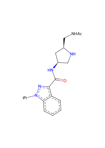 CC(=O)NC[C@@H]1C[C@H](NC(=O)c2nn(C(C)C)c3ccccc23)CN1